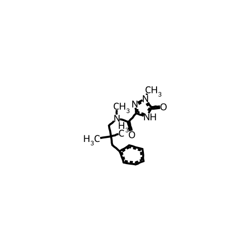 CN(CC(C)(C)Cc1ccccc1)C(=O)c1nn(C)c(=O)[nH]1